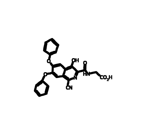 N#Cc1nc(C(=O)NCC(=O)O)c(O)c2cc(Oc3ccccc3)c(Oc3ccccc3)cc12